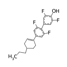 CCCC1CC=C(c2cc(F)c(-c3cc(F)c(O)c(F)c3)c(F)c2)CC1